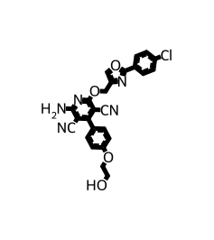 N#Cc1c(N)nc(OCc2coc(-c3ccc(Cl)cc3)n2)c(C#N)c1-c1ccc(OCCO)cc1